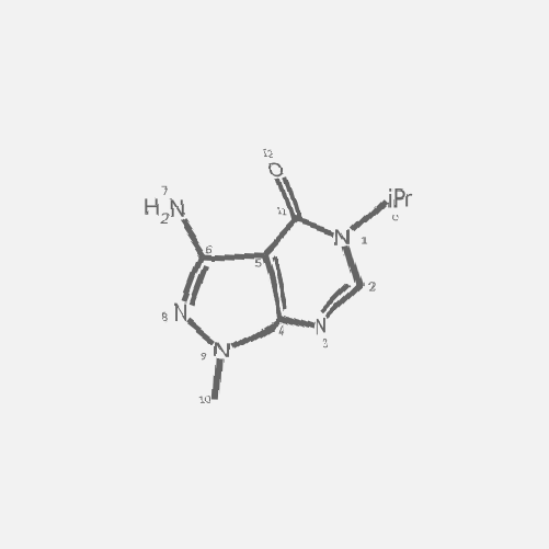 CC(C)n1cnc2c(c(N)nn2C)c1=O